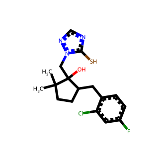 CC1(C)CCC(Cc2ccc(F)cc2Cl)C1(O)Cn1ncnc1S